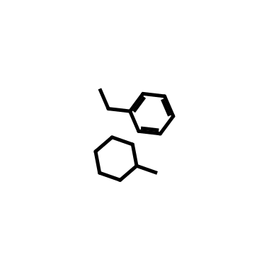 CC1CCCCC1.CCc1ccccc1